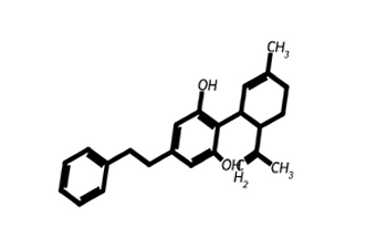 C=C(C)C1CCC(C)=CC1c1c(O)cc(CCc2ccccc2)cc1O